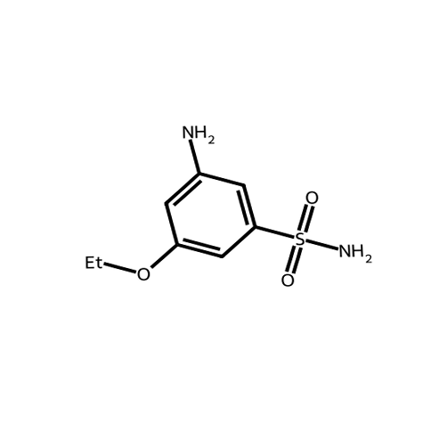 CCOc1cc(N)cc(S(N)(=O)=O)c1